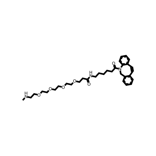 CNCCOCCOCCOCCOCCC(=O)NCCCCCC(=O)N1Cc2ccccc2C#Cc2ccccc21